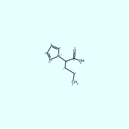 CCCC(C(=O)O)n1cccn1